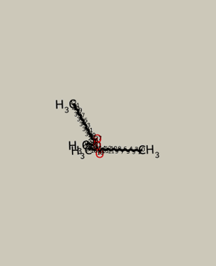 CCCCCCCCCCCCCCCC(=O)C(CCC)OC(CCC)C(=O)CCCCCCCCCCCCCCC